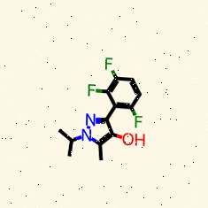 Cc1c(O)c(-c2c(F)ccc(F)c2F)nn1C(C)C